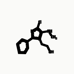 CNc1c(Cl)nc(-c2ccccc2)n1CCO